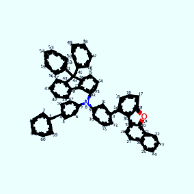 c1ccc(-c2ccc(N(c3cccc(-c4cccc5oc6c7ccccc7ccc6c45)c3)c3cccc4c3-c3ccccc3C4(c3ccccc3)c3ccccc3)cc2)cc1